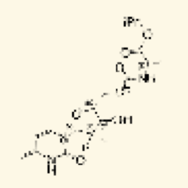 C=C1C=CN([C@@H]2O[C@H](CO[PH](=O)N[C@@H](C)C(=O)OC(C)C)[C@@H](O)[C@@]2(C)F)C(=O)N1